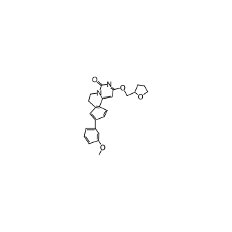 COc1cccc(-c2ccc3c(c2)CCn2c-3cc(OCC3CCCO3)nc2=O)c1